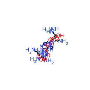 N#Cc1ccc(C[C@H](NC(=O)[C@@H]2CCCN2C(=O)[C@@H](CCCN)NC(=O)CNC(=O)[C@H](CCN)NC(=O)[C@@H](NC(=O)[C@@H](N)CCCCN)[C@@H](O)CN)C(=O)N[C@@H](CCCCN)C(=O)CC/C(=C\CCNC(=N)N)C(=O)O)cc1